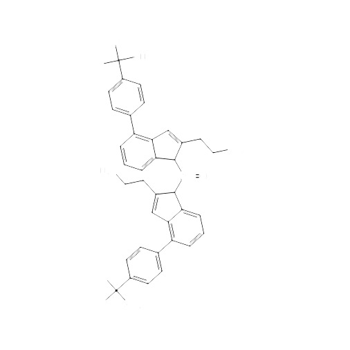 [CH2]=[Zr+2]([CH]1C(CCC)=Cc2c(-c3ccc(C(C)(C)C)cc3)cccc21)[CH]1C(CCC)=Cc2c(-c3ccc(C(C)(C)C)cc3)cccc21.[Cl-].[Cl-]